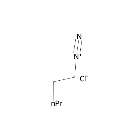 CCCCC[N+]#N.[Cl-]